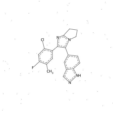 Cc1cc(-c2nc3n(c2-c2ccc4[nH]ncc4c2)CCC3)c(Cl)cc1F